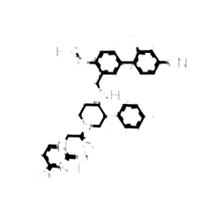 N#Cc1ccc(-c2ccc(OC(F)(F)F)c(CN[C@H]3CCN(C(=O)Cn4ccc(=O)[nH]c4=O)C[C@H]3c3ccccc3)c2)c(F)c1